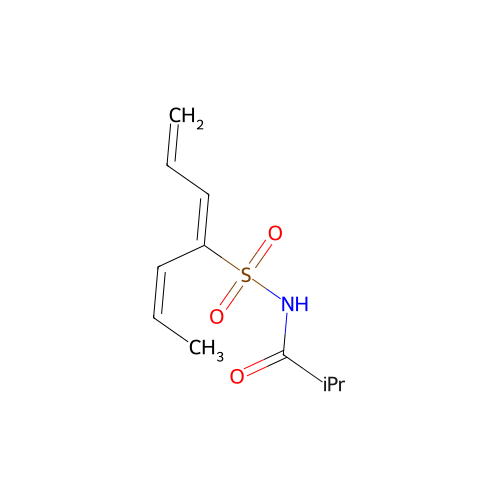 C=C/C=C(\C=C/C)S(=O)(=O)NC(=O)C(C)C